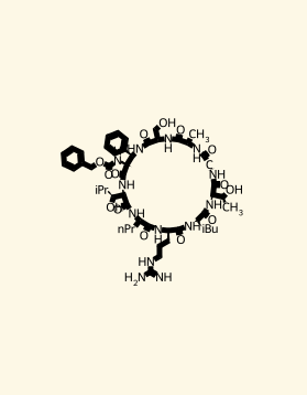 CCCC1NC(=O)[C@H]([C@H](O)C(C)C)NC(=O)[C@@H](NC(=O)OCc2ccccc2)[C@@H](c2ccccc2)NC(=O)C(CO)NC(=O)C(C)NC(=O)CNC(=O)[C@H]([C@H](C)O)NC(=O)[C@H]([C@@H](C)CC)NC(=O)[C@@H](CCCNC(=N)N)NC1=O